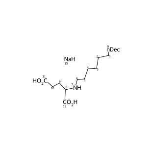 CCCCCCCCCCCCCCCCNC(CCC(=O)O)C(=O)O.[NaH]